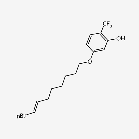 CCCC/C=C/CCCCCCOc1ccc(C(F)(F)F)c(O)c1